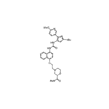 CNC(=O)C1CN(CCOc2ccc(NC(=O)Nc3cc(C(C)(C)C)nn3-c3ccc(OC)nc3)c3ccccc23)CCO1